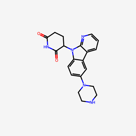 O=C1CCC(n2c3ccc(N4CCNCC4)cc3c3cccnc32)C(=O)N1